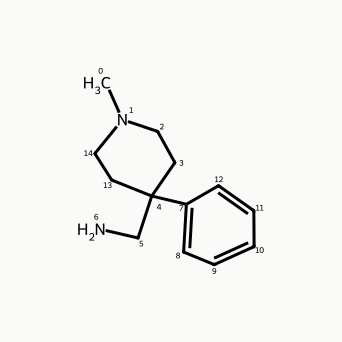 CN1CCC(CN)(c2ccccc2)CC1